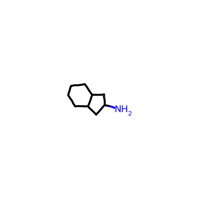 NC1CC2CCCCC2C1